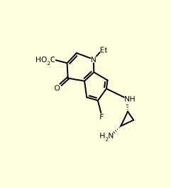 CCn1cc(C(=O)O)c(=O)c2cc(F)c(N[C@@H]3C[C@@H]3N)cc21